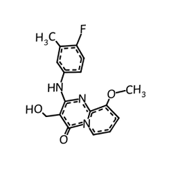 COc1cccn2c(=O)c(CO)c(Nc3ccc(F)c(C)c3)nc12